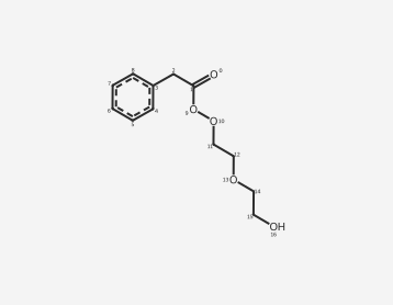 O=C(Cc1ccccc1)OOCCOCCO